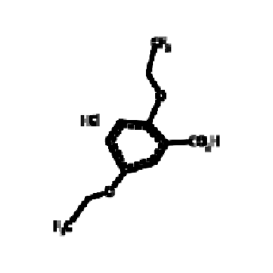 Cl.O=C(O)c1cc(OCC(F)(F)F)ccc1OCC(F)(F)F